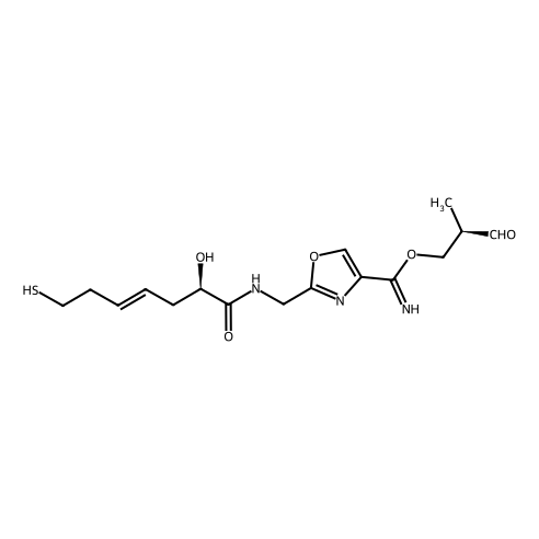 C[C@@H](C=O)COC(=N)c1coc(CNC(=O)[C@H](O)C/C=C/CCS)n1